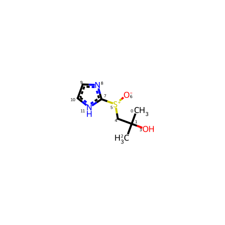 CC(C)(O)C[S+]([O-])c1ncc[nH]1